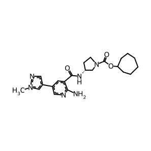 Cn1cc(-c2cnc(N)c(C(=O)N[C@@H]3CCN(C(=O)OC4CCCCCC4)C3)c2)cn1